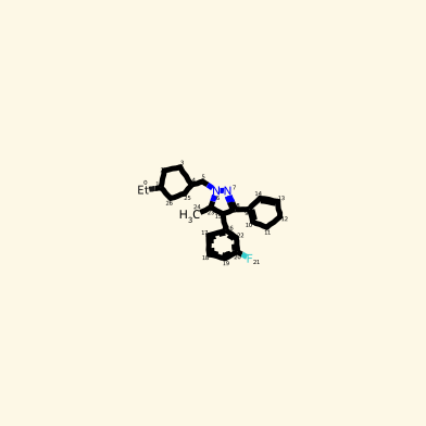 CCC1CCC(CN2N=C(C3=CCCC=C3)C(c3cccc(F)c3)C2C)CC1